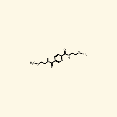 COCCNC(=O)c1ccc(C(=O)NCCOC)nc1